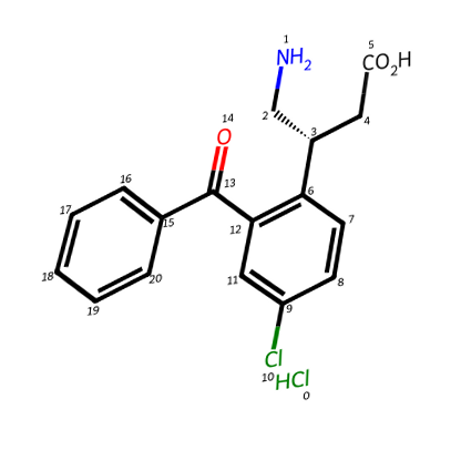 Cl.NC[C@H](CC(=O)O)c1ccc(Cl)cc1C(=O)c1ccccc1